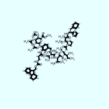 CC[C@H](C)[C@@H]([C@@H](CC(=O)N1CCC[C@H]1[C@H](OC)[C@@H](C)C(=O)N[C@@H](Cc1ccccc1)c1nccs1)OC)N(C)C(=O)[C@@H](NC(=O)[C@H](C(C)C)[N+](C)(C)Cc1ccc(O[C@@H]2O[C@H](C(=O)OC)[C@@H](OC(C)=O)[C@H](OC(C)=O)[C@H]2OC(C)=O)c(NC(=O)CCNC(=O)OCC2c3ccccc3-c3ccccc32)c1)C(C)C